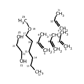 C=CC.C=CC.C=CC.C=CC.CCCCCCOC.OCCO